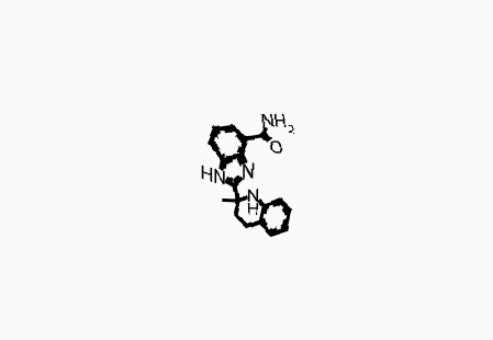 CC1(c2nc3c(C(N)=O)cccc3[nH]2)CCc2ccccc2N1